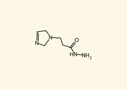 NNC(=O)CCN1CC=NC1